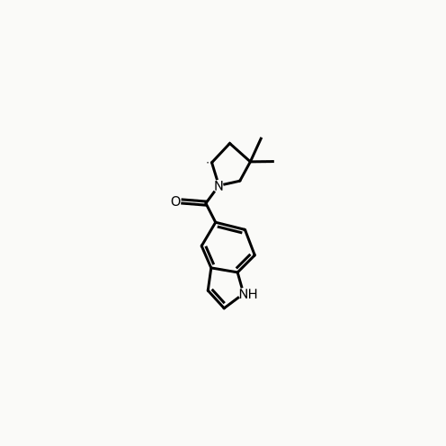 CC1(C)C[CH]N(C(=O)c2ccc3[nH]ccc3c2)C1